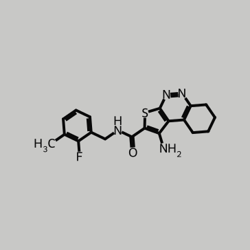 Cc1cccc(CNC(=O)c2sc3nnc4c(c3c2N)CCCC4)c1F